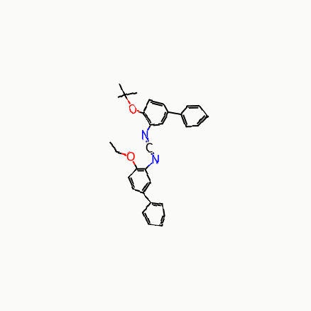 CCOc1ccc(-c2ccccc2)cc1N=C=Nc1cc(-c2ccccc2)ccc1OC(C)(C)C